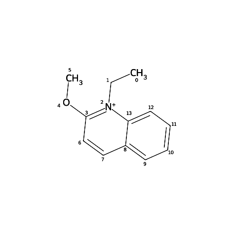 CC[n+]1c(OC)ccc2ccccc21